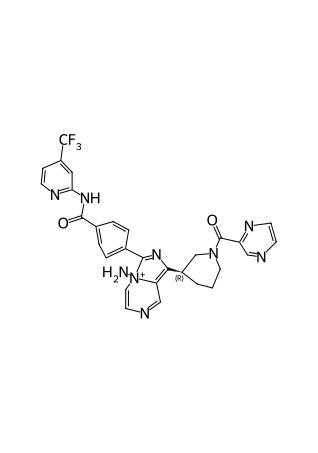 N[N+]12C=CN=CC1=C([C@@H]1CCCN(C(=O)c3cnccn3)C1)N=C2c1ccc(C(=O)Nc2cc(C(F)(F)F)ccn2)cc1